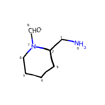 NCC1CCCCN1[C]=O